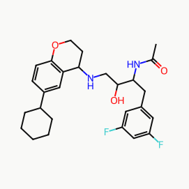 CC(=O)NC(Cc1cc(F)cc(F)c1)C(O)CNC1CCOc2ccc(C3CCCCC3)cc21